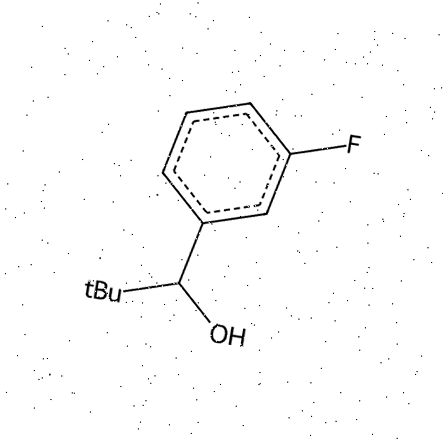 CC(C)(C)C(O)c1cccc(F)c1